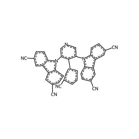 N#Cc1cccc(-c2c(-n3c4ccc(C#N)cc4c4cc(C#N)ccc43)cncc2-n2c3ccc(C#N)cc3c3cc(C#N)ccc32)c1